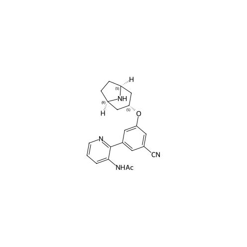 CC(=O)Nc1cccnc1-c1cc(C#N)cc(O[C@@H]2C[C@H]3CC[C@@H](C2)N3)c1